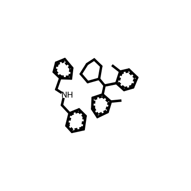 Cc1ccccc1C(c1ccccc1C)C1CCCCC1.c1ccc(CNCc2ccccc2)cc1